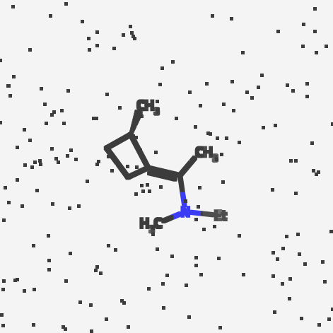 CCN(C)/C(C)=C1\CC[C@H]1C